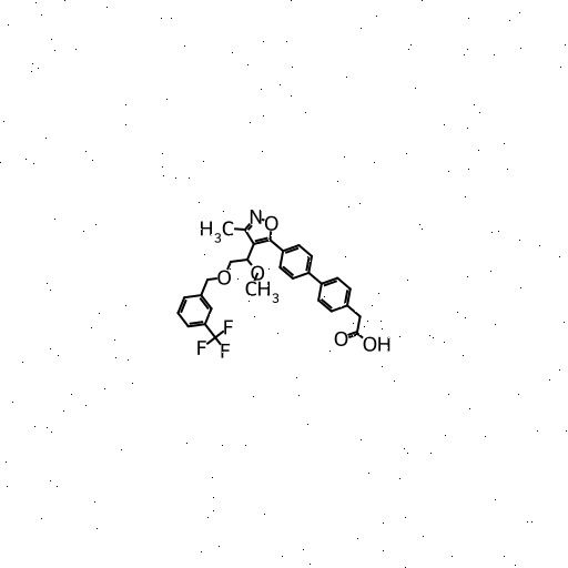 COC(COCc1cccc(C(F)(F)F)c1)c1c(C)noc1-c1ccc(-c2ccc(CC(=O)O)cc2)cc1